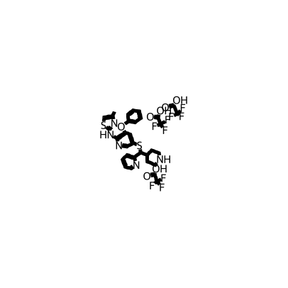 Cc1csc(Nc2ncc(SC(c3ccccn3)C3CCNCC3)cc2Oc2ccccc2)n1.O=C(O)C(F)(F)F.O=C(O)C(F)(F)F.O=C(O)C(F)(F)F